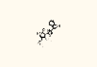 CCCc1c[nH]c(=O)c(-c2nc(-c3c[nH]c4ncccc34)cs2)c1C